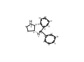 c1ccc(C(=N[C@@H]2CCNC2)c2ccccc2)cc1